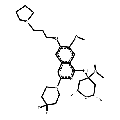 COc1cc2c(N[C@]3(N(C)C)C[C@@H](C)O[C@@H](C)C3)nc(N3CCC(F)(F)CC3)nc2cc1OCCCN1CCCC1